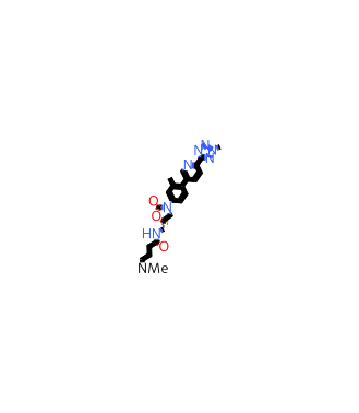 CNCCCC(=O)NC[C@H]1CN(c2ccc(-c3ccc(-c4nnn(C)n4)nc3)c(C)c2)C(=O)O1